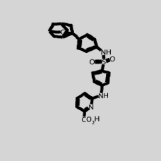 O=C(O)c1cccc(Nc2ccc(S(=O)(=O)Nc3ccc(C45CC6CC(CC4C6)C5)cc3)cc2)n1